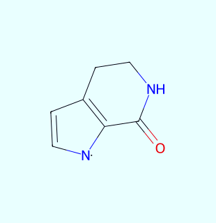 O=C1NCCC2=C1[N]C=C2